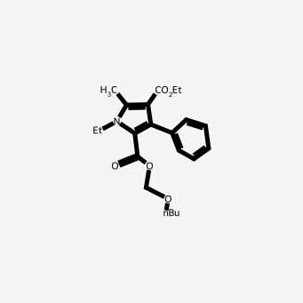 CCCCOCOC(=O)c1c(-c2ccccc2)c(C(=O)OCC)c(C)n1CC